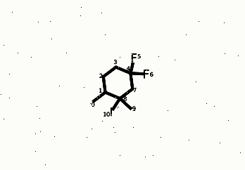 CC1CCC(F)(F)CC1(C)I